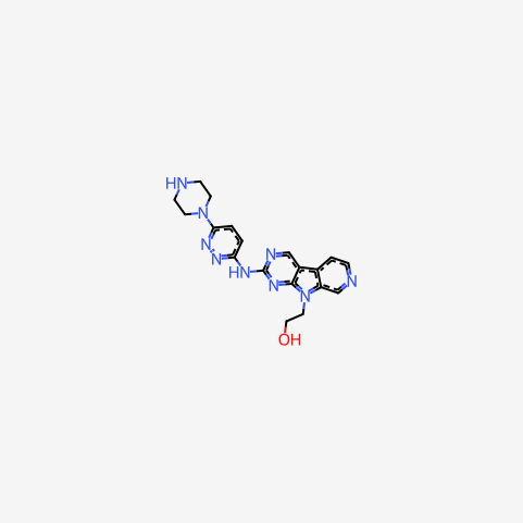 OCCn1c2cnccc2c2cnc(Nc3ccc(N4CCNCC4)nn3)nc21